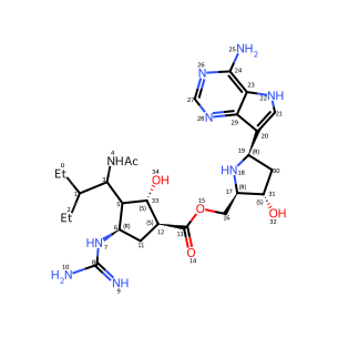 CCC(CC)C(NC(C)=O)C1[C@H](NC(=N)N)C[C@H](C(=O)OC[C@H]2N[C@@H](c3c[nH]c4c(N)ncnc34)C[C@@H]2O)[C@H]1O